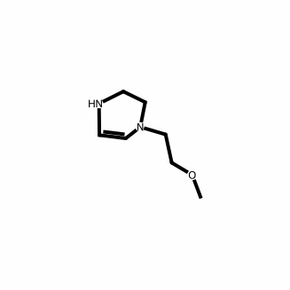 COCCN1C=CNCC1